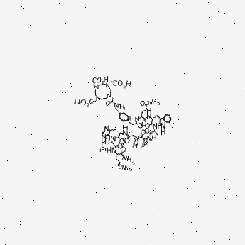 CSCC[C@H](NC(=O)[C@H](CC(C)C)NC(=O)[C@H](Cc1c[nH]cn1)NC(=O)CNC(=O)[C@@H](NC(=O)[C@H](C)NC(=O)[C@H](Cc1c[nH]c2ccccc12)NC(=O)[C@H](CCC(N)=O)NC(=O)Cc1ccc(CNC(=O)CN2CCN(CC(=O)O)CCN(CC(=O)O)CCN(CC(=O)O)CC2)cc1)C(C)C)C(N)=O